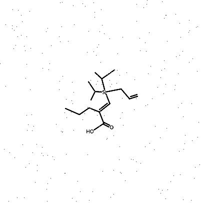 C=CC[Si](C=C(CCC)C(=O)O)(C(C)C)C(C)C